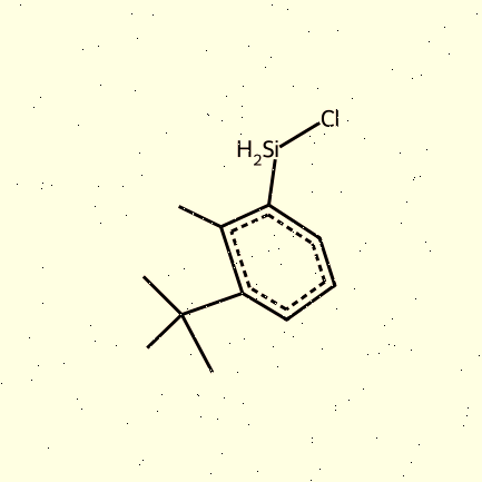 Cc1c([SiH2]Cl)cccc1C(C)(C)C